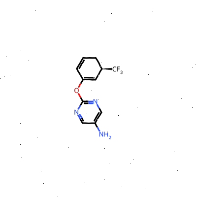 Nc1cnc(OC2=C[C@H](C(F)(F)F)CC=C2)nc1